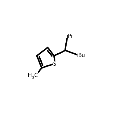 CCC(C)C(c1ccc(C)s1)C(C)C